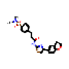 CCCN(CCC)S(=O)(=O)c1ccc(CCC(=O)NC2=NC(c3ccc4c(c3)CCO4)CS2)cc1